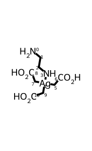 NCC[NH][Ag]([CH2]C(=O)O)([CH2]C(=O)O)[CH2]C(=O)O